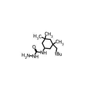 CC(C)(C)CC1(C)CC(NC(=O)NN)CC(C)(C)C1